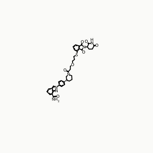 NC(=O)c1cccc2cn(-c3ccc([C@@H]4CCCN(C(=O)CCOCCCSc5cccc6c5C(=O)N(C5CCC(=O)NC5=O)C6=O)C4)cc3)nc12